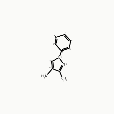 Cc1nn(-c2cccnc2)cc1N